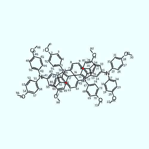 COc1ccc(N(C2=CC=C3C(=Cc4cc(N(c5ccc(OC)cc5)c5ccc(OC)cc5)ccc43)C23C2=Cc4cc(N(c5ccc(OC)cc5)c5ccc(OC)cc5)ccc4C2=CC=C3N(c2ccc(OC)cc2)c2ccc(OC)cc2)c2ccc(OC)cc2)cc1